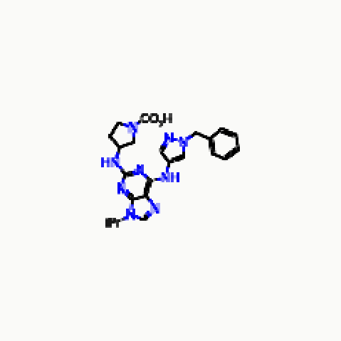 CC(C)n1cnc2c(Nc3cnn(Cc4ccccc4)c3)nc(N[C@H]3CCN(C(=O)O)C3)nc21